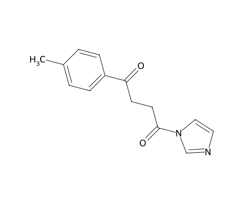 Cc1ccc(C(=O)CCC(=O)n2ccnc2)cc1